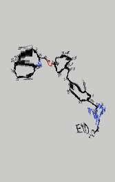 CCOC(=O)Cn1nnc(-c2ccc(CCc3cccc(OCc4ccc5ccccc5n4)c3)cc2)n1